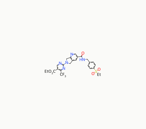 CCOC(=O)c1cnc(N2Cc3cc(C(=O)NCc4ccc(S(=O)(=O)CC)cc4)cnc3C2)nc1C(F)(F)F